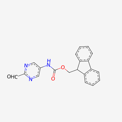 O=Cc1ncc(NC(=O)OCC2c3ccccc3-c3ccccc32)cn1